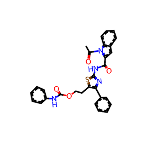 CC(=O)n1c(C(=O)Nc2nc(-c3ccccc3)c(CCOC(=O)Nc3ccccc3)s2)cc2ccccc21